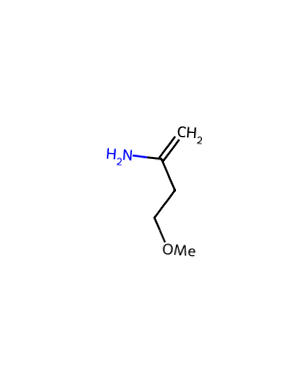 C=C(N)CCOC